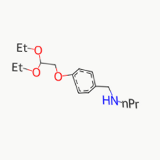 CCCNCc1ccc(OCC(OCC)OCC)cc1